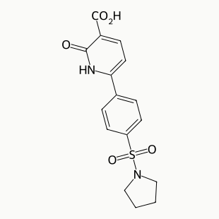 O=C(O)c1ccc(-c2ccc(S(=O)(=O)N3CCCC3)cc2)[nH]c1=O